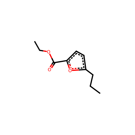 CCCc1ccc(C(=O)OCC)o1